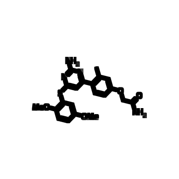 COc1ccc(OC)c(Sc2cc(-c3ccc(OCC(N)=O)cc3C)nc(N)n2)c1